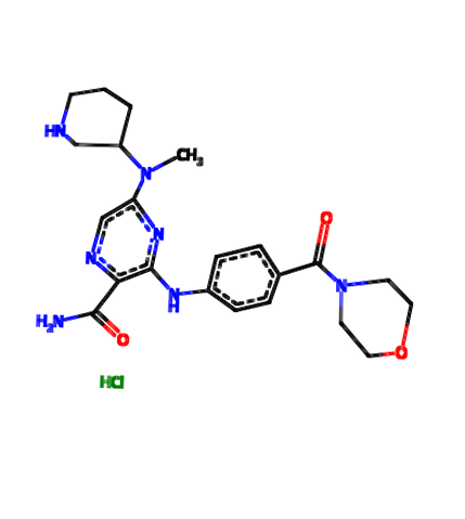 CN(c1cnc(C(N)=O)c(Nc2ccc(C(=O)N3CCOCC3)cc2)n1)C1CCCNC1.Cl